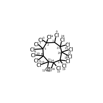 ClC1C(Cl)(Cl)C(Cl)(Cl)C(Cl)(Cl)C(Cl)(Cl)C(Cl)(Cl)C(Cl)(Cl)C(Cl)(Cl)C1(Cl)Cl